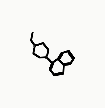 [CH2]CN1CCN(c2cccc3ccccc23)CC1